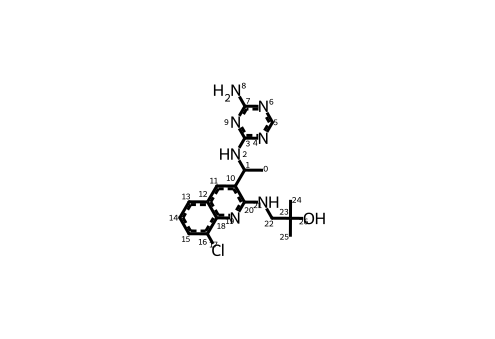 CC(Nc1ncnc(N)n1)c1cc2cccc(Cl)c2nc1NCC(C)(C)O